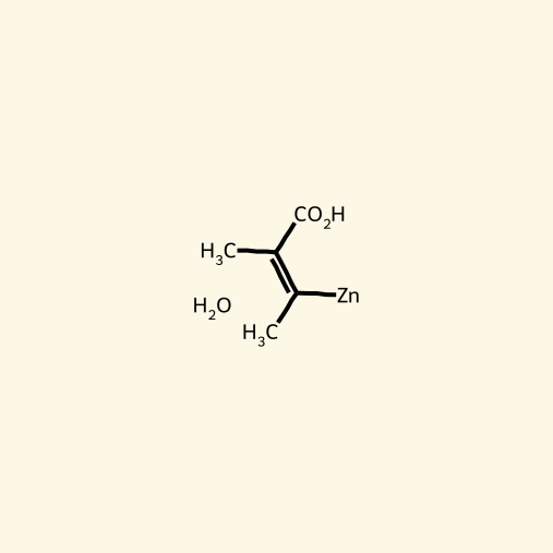 C[C]([Zn])=C(C)C(=O)O.O